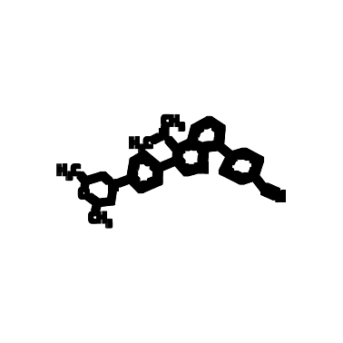 CC1CN(c2ccc(-c3cnc4c(-c5ccc(C#N)cc5)cccc4c3N(C)C)cc2)CC(C)O1